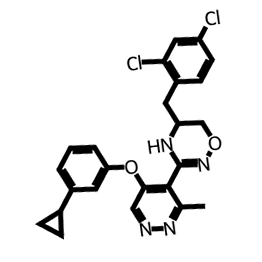 Cc1nncc(Oc2cccc(C3CC3)c2)c1C1=NOCC(Cc2ccc(Cl)cc2Cl)N1